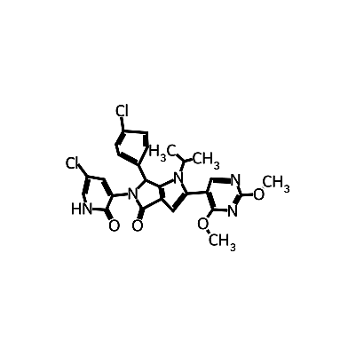 COc1ncc(-c2cc3c(n2C(C)C)C(c2ccc(Cl)cc2)N(c2cc(Cl)c[nH]c2=O)C3=O)c(OC)n1